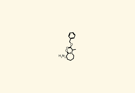 CC(C(=O)OCc1ccccc1)N1CCCC[C@H](N)C1=O